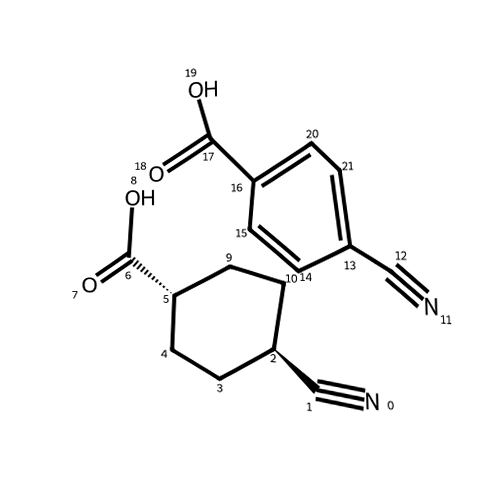 N#C[C@H]1CC[C@H](C(=O)O)CC1.N#Cc1ccc(C(=O)O)cc1